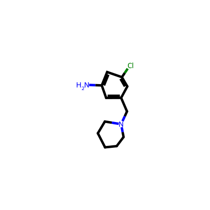 Nc1cc(Cl)cc(CN2CCCCC2)c1